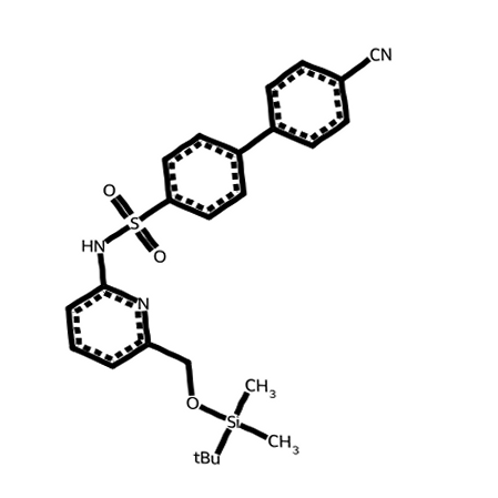 CC(C)(C)[Si](C)(C)OCc1cccc(NS(=O)(=O)c2ccc(-c3ccc(C#N)cc3)cc2)n1